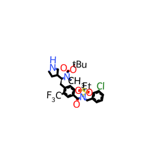 CCS(=O)(=O)N(Cc1cccc(Cl)c1)C(=O)c1ccc(C[C@@H](C2CCNC2)N(C)C(=O)OC(C)(C)C)c(C(F)(F)F)c1